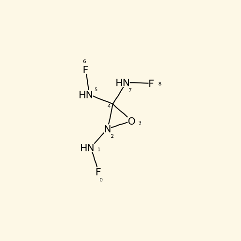 FNN1OC1(NF)NF